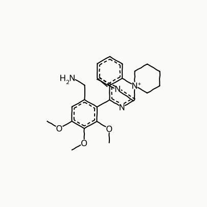 COc1cc(CN)c(-c2nc3nc4cccc(c24)[N+]32CCCCC2)c(OC)c1OC